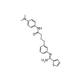 CN(C)c1ccc(NC(=O)C[CH]Cc2cccc(N=C(N)c3cccs3)c2)cc1